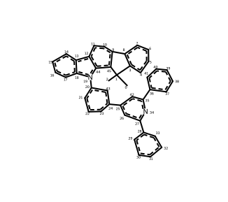 CC1(C)c2ccccc2-c2ccc3c4ccccc4n(-c4cccc(-c5cc(-c6ccccc6)nc(-c6ccccc6)c5)c4)c3c21